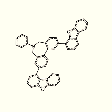 c1ccc(N2Cc3cc(-c4cccc5oc6ccccc6c45)ccc3-c3cc(-c4cccc5c4oc4ccccc45)ccc3C2)cc1